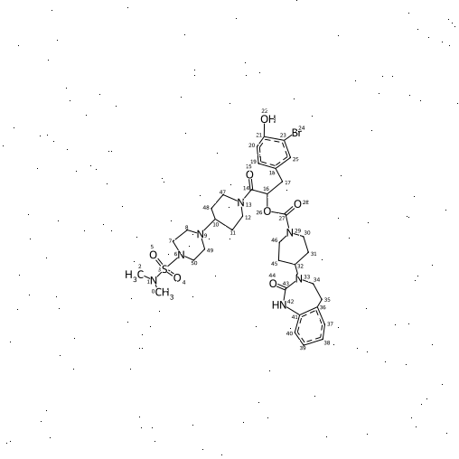 CN(C)S(=O)(=O)N1CCN(C2CCN(C(=O)C(Cc3ccc(O)c(Br)c3)OC(=O)N3CCC(N4CCc5ccccc5NC4=O)CC3)CC2)CC1